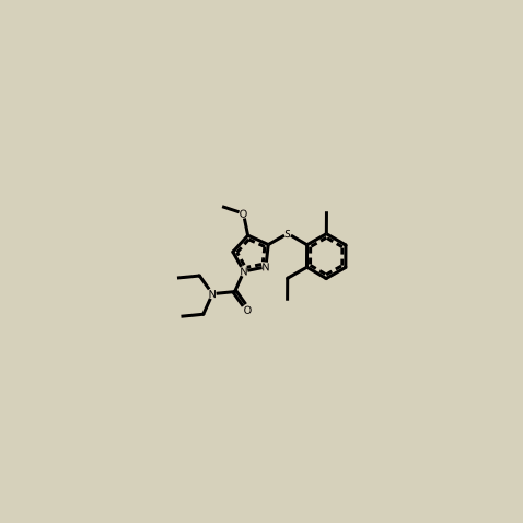 CCc1cccc(C)c1Sc1nn(C(=O)N(CC)CC)cc1OC